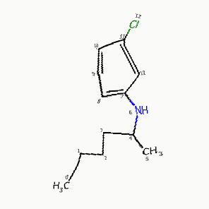 CCCCC(C)Nc1cc[c]c(Cl)c1